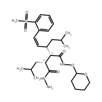 CC(C)CC(/C=C\c1ccccc1S(C)(=O)=O)[C@H](C(=O)NOC1CCCCO1)[C@@H](CC(C)C)C(=O)NN